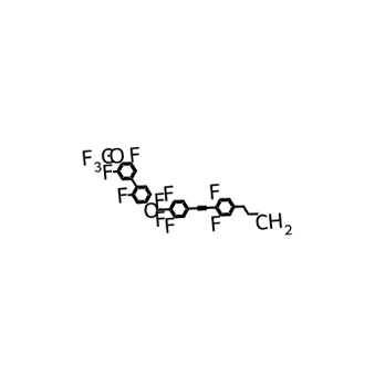 C=CCCc1cc(F)c(C#Cc2cc(F)c(C(F)(F)Oc3ccc(-c4cc(F)c(OC(F)(F)F)c(F)c4)c(F)c3)c(F)c2)c(F)c1